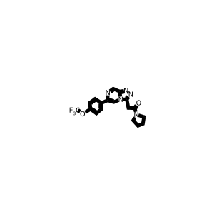 O=C(Cc1nnc2cnc(-c3ccc(OC(F)(F)F)cc3)cn12)N1CCCC1